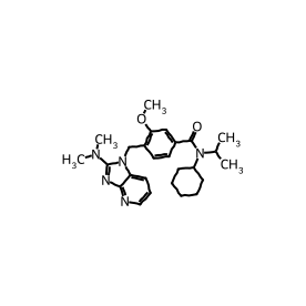 COc1cc(C(=O)N(C(C)C)C2CCCCC2)ccc1Cn1c(N(C)C)nc2ncccc21